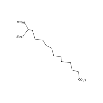 CCCCCC(CCCCCCCCCCCC(=O)O)OC